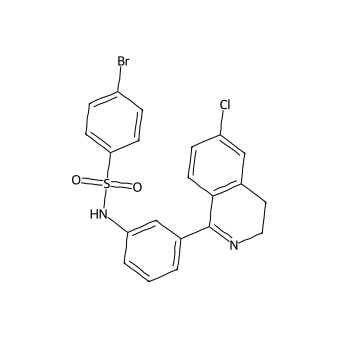 O=S(=O)(Nc1cccc(C2=NCCc3cc(Cl)ccc32)c1)c1ccc(Br)cc1